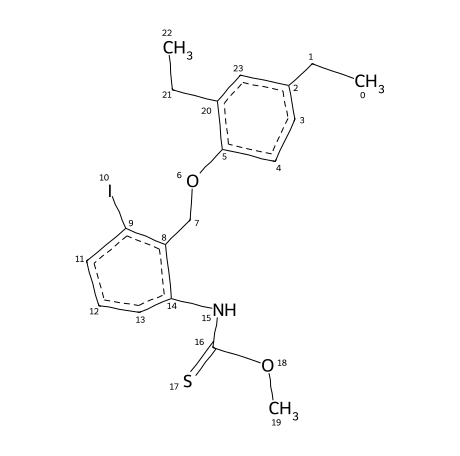 CCc1ccc(OCc2c(I)cccc2NC(=S)OC)c(CC)c1